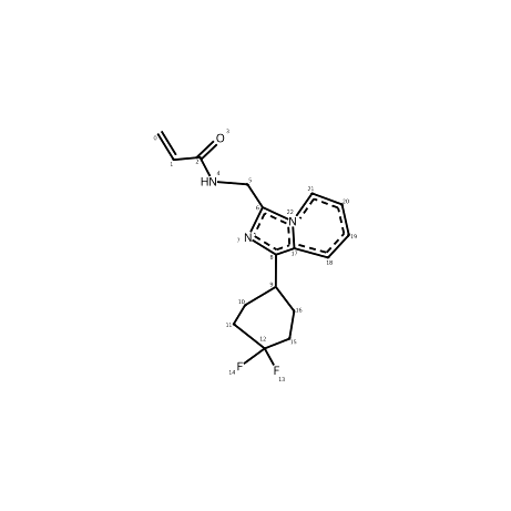 C=CC(=O)NCc1nc(C2CCC(F)(F)CC2)c2ccccn12